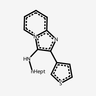 CCCCCCCNc1c(-c2ccsc2)nc2ccccn12